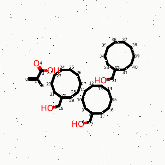 C=C(C)C(=O)O.OCC1CCCCCCCCC1.OCC1CCCCCCCCC1.OCC1CCCCCCCCC1